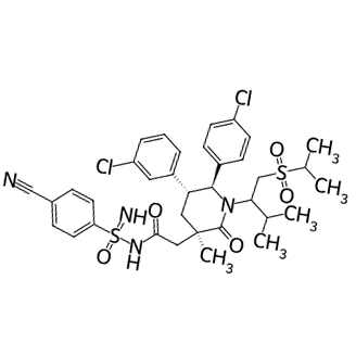 CC(C)C(CS(=O)(=O)C(C)C)N1C(=O)[C@@](C)(CC(=O)NS(=N)(=O)c2ccc(C#N)cc2)C[C@H](c2cccc(Cl)c2)[C@H]1c1ccc(Cl)cc1